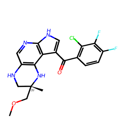 COC[C@]1(C)CNc2cnc3[nH]cc(C(=O)c4ccc(F)c(F)c4Cl)c3c2N1